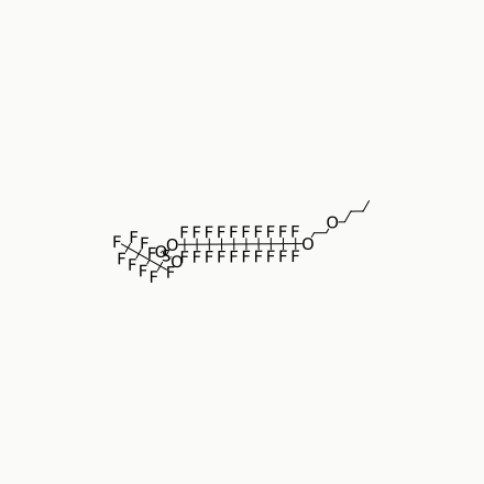 CCCCOCCOC(F)(F)C(F)(F)C(F)(F)C(F)(F)C(F)(F)C(F)(F)C(F)(F)C(F)(F)C(F)(F)C(F)(F)OS(=O)(=O)C(F)(F)C(F)(F)C(F)(F)C(F)(F)F